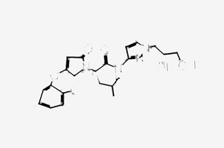 CC(C)C[C@H](C(=O)Nc1ccn(C[C@@H](O)CO)n1)N1CC(Oc2ccccc2Cl)=CC1=O